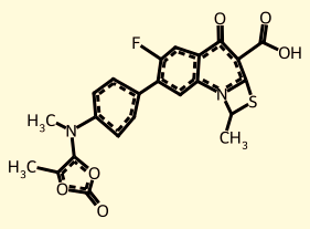 Cc1oc(=O)oc1N(C)c1ccc(-c2cc3c(cc2F)c(=O)c(C(=O)O)c2n3C(C)S2)cc1